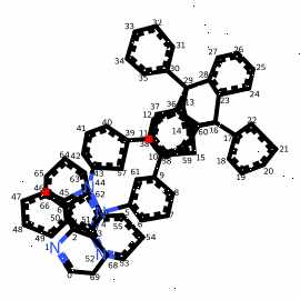 C1=Nc2c(n(-c3cccc(-c4ccc5c(c4)C4(c6ccccc6)c6ccccc6C5(c5ccccc5)c5cc(-c6cccc(-n7c8ccccc8c8ncccc87)c6)ccc54)c3)c3ccccc23)CC1